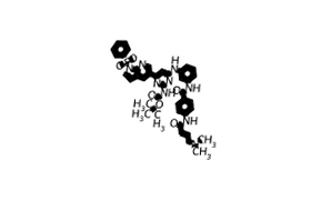 CN(C)C/C=C/C(=O)Nc1ccc(C(=O)Nc2cccc(Nc3cc(-c4cnc5c(ccn5S(=O)(=O)c5ccccc5)c4)nc(NC(=O)OC(C)(C)C)n3)c2)cc1